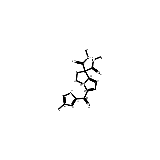 COC(=O)C1(C(=O)OC)CCn2c(C(=O)c3cc(C)cs3)ccc21